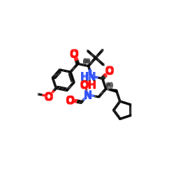 COc1ccc(C(=O)[C@H](NC(=O)[C@@H](CC2CCCC2)CN(O)C=O)C(C)(C)C)cc1